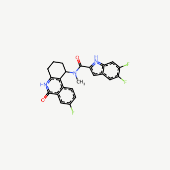 CN(C(=O)c1cc2cc(F)c(F)cc2[nH]1)C1CCCc2[nH]c(=O)c3cc(F)ccc3c21